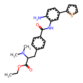 CCOC(=O)C(Cc1ccc(C(=O)Nc2cc(-c3cccs3)ccc2N)cc1)N(C)C